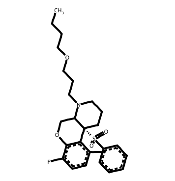 CCCCOCCCN1CCC[C@@]2(S(=O)(=O)c3ccccc3)c3c(F)ccc(F)c3OCC12